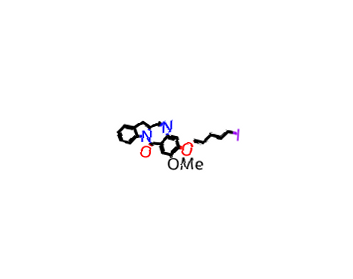 COc1cc2c(cc1OCCCCCI)N=CC1Cc3ccccc3N1C2=O